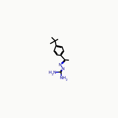 C/C(=N\N=C(N)N)c1ccc(C(C)(C)C)cc1